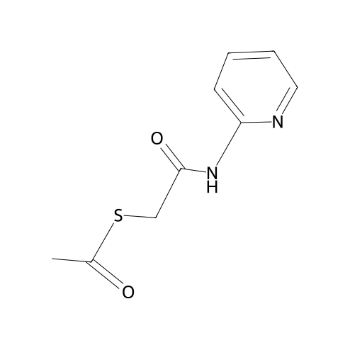 CC(=O)SCC(=O)Nc1ccccn1